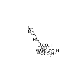 CCC1(CC)C(=O)N([C@@H](CCCCNC/C=C/c2ccc(N=[N+]=[N-])cc2)C(=O)O)C(=O)N([C@@H](CCC(=O)O)C(=O)O)C1=O